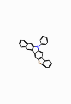 c1ccc(-n2c3cc4ccccc4cc3c3cc4sc5ccccc5c4cc32)cc1